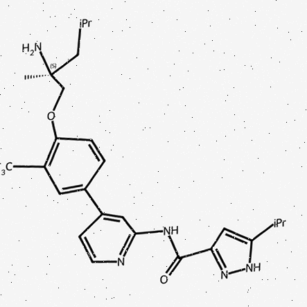 CC(C)C[C@](C)(N)COc1ccc(-c2ccnc(NC(=O)c3cc(C(C)C)[nH]n3)c2)cc1C(F)(F)F